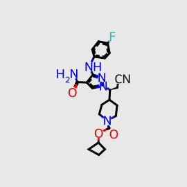 N#CC[C@@H](C1CCN(C(=O)OC2CCC2)CC1)n1cc(C(N)=O)c(Nc2ccc(F)cc2)n1